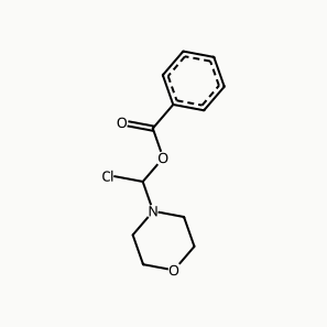 O=C(OC(Cl)N1CCOCC1)c1ccccc1